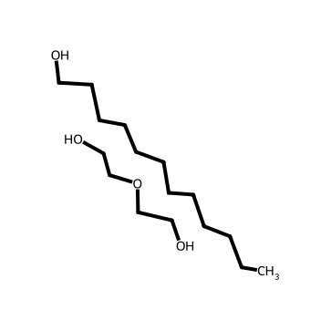 CCCCCCCCCCCCO.OCCOCCO